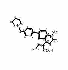 CC(=O)N1c2ccc(-c3ccc(CN4CCCCC4)cc3)cc2[C@H](N(CC(C)C)C(=O)O)C[C@@H]1C